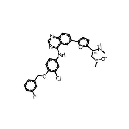 CN[C@@H](C[S+](C)[O-])c1ccc(-c2ccc3ncnc(Nc4ccc(OCc5cccc(F)c5)c(Cl)c4)c3c2)o1